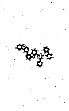 C1=CC2Oc3ccc(-c4cccc5oc6c(-c7nc(-c8ccccc8)nc(-n8c9ccccc9c9ccccc98)n7)cccc6c45)cc3C2C=C1